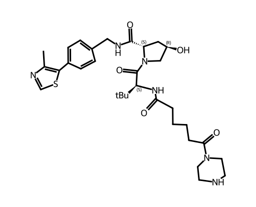 Cc1ncsc1-c1ccc(CNC(=O)[C@@H]2C[C@@H](O)CN2C(=O)[C@@H](NC(=O)CCCCC(=O)N2CCNCC2)C(C)(C)C)cc1